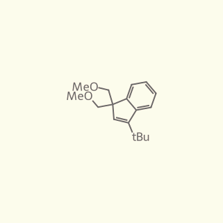 COCC1(COC)C=C(C(C)(C)C)c2ccccc21